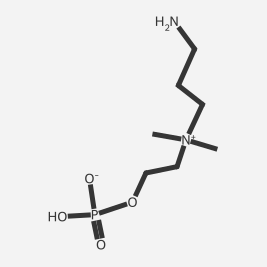 C[N+](C)(CCCN)CCOP(=O)([O-])O